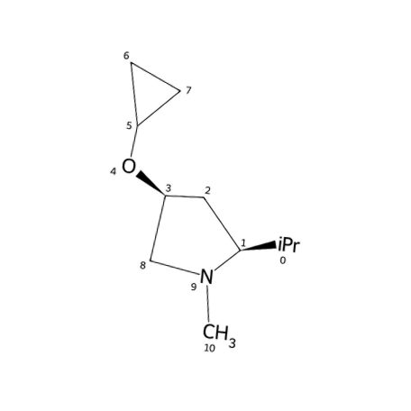 CC(C)[C@@H]1C[C@H](OC2CC2)CN1C